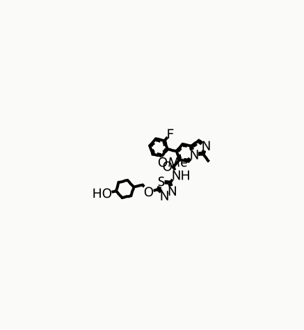 COc1cccc(F)c1-c1cc2cnc(C)n2cc1C(=O)Nc1nnc(OCC2CCC(O)CC2)s1